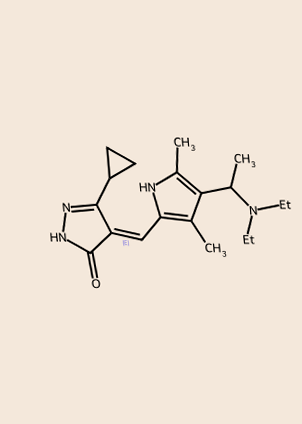 CCN(CC)C(C)c1c(C)[nH]c(/C=C2/C(=O)NN=C2C2CC2)c1C